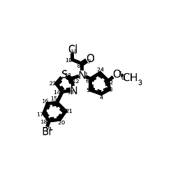 COc1cccc(N(C(=O)CCl)c2nc(-c3ccc(Br)cc3)cs2)c1